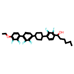 CCCCCC(O)c1ccc(C2CCC(c3ccc(-c4ccc(OCC)c(F)c4F)c(F)c3F)CC2)c(F)c1F